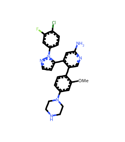 COc1cc(N2CCNCC2)ccc1-c1cnc(N)cc1-c1ccnn1-c1ccc(Cl)c(F)c1